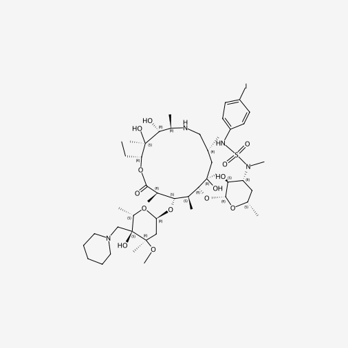 CC[C@H]1OC(=O)[C@H](C)[C@@H](O[C@H]2C[C@@](C)(OC)[C@](O)(CN3CCCCC3)[C@H](C)O2)[C@H](C)[C@@H](O[C@H]2O[C@@H](C)C[C@@H](N(C)S(=O)(=O)Nc3ccc(I)cc3)[C@@H]2O)[C@](C)(O)C[C@@H](C)CN[C@H](C)[C@@H](O)[C@]1(C)O